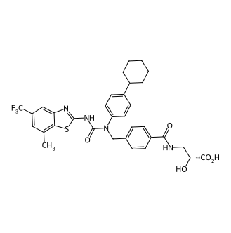 Cc1cc(C(F)(F)F)cc2nc(NC(=O)N(Cc3ccc(C(=O)NC[C@@H](O)C(=O)O)cc3)c3ccc(C4CCCCC4)cc3)sc12